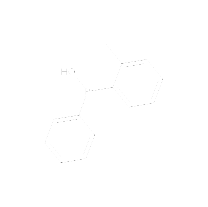 Cc1ccccc1P(O)c1ccccc1